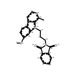 COc1ccc2c3ccnc(C)c3n(CCCN3C(=O)c4ccccc4C3=O)c2c1